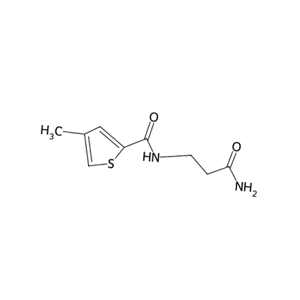 Cc1csc(C(=O)NCCC(N)=O)c1